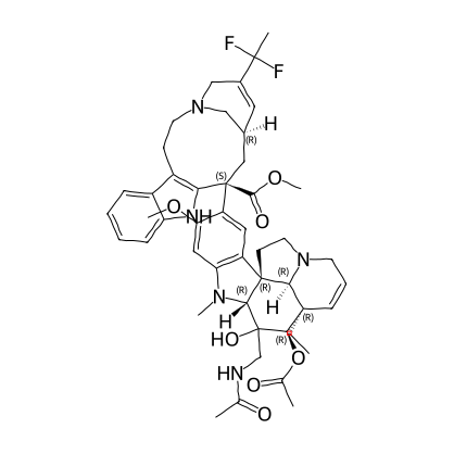 CC[C@]12C=CCN3CC[C@@]4(c5cc([C@@]6(C(=O)OC)C[C@@H]7C=C(C(C)(F)F)CN(CCc8c6[nH]c6ccccc86)C7)c(OC)cc5N(C)[C@H]4C(O)(CNC(C)=O)[C@@H]1OC(C)=O)[C@@H]32